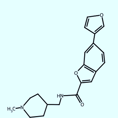 CN1CCC(CNC(=O)c2cc3ccc(-c4ccoc4)cc3o2)CC1